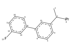 CC(C)C(C)c1cccc(-c2cccc(F)c2)c1